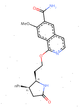 CCC[C@@H]1CC(=O)N[C@@H]1CCOc1nccc2cc(C(N)=O)c(OC)cc12